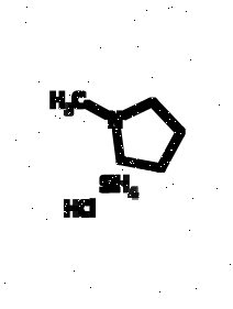 CN1CCCC1.Cl.[SiH4]